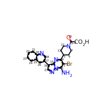 Nc1c(Br)c(C2CCN(C(=O)C(=O)O)CC2)nc2c(-c3cnc4ccccc4c3)cnn12